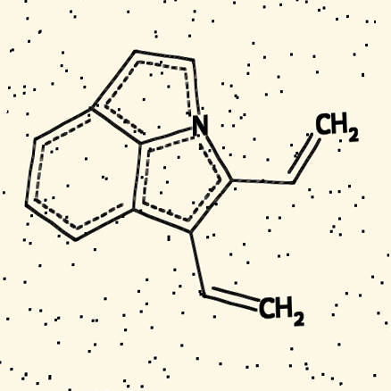 C=Cc1c(C=C)n2ccc3cccc1c32